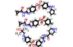 CC(C)(O)CNc1ccc(S(=O)(=O)Oc2ccc3nc(NC(=O)C4CCNCC4)sc3c2)cc1.O=C(Nc1nc2ccc(OS(=O)(=O)c3ccc(F)cc3)cc2s1)C1CC1.O=C(Nc1nc2ccc(OS(=O)(=O)c3ccc(NC4CCCC4)cc3)cc2s1)C1CC1